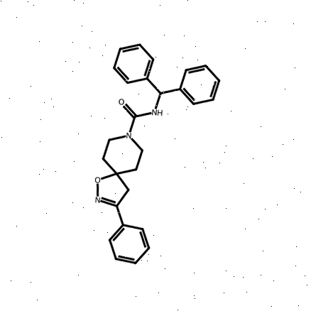 O=C(NC(c1ccccc1)c1ccccc1)N1CCC2(CC1)CC(c1ccccc1)=NO2